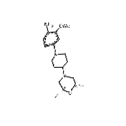 COc1cc(N2CCC(N3C[C@@H](C)O[C@@H](C)C3)CC2)ccc1N